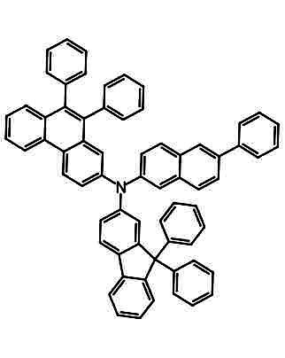 c1ccc(-c2ccc3cc(N(c4ccc5c(c4)C(c4ccccc4)(c4ccccc4)c4ccccc4-5)c4ccc5c(c4)c(-c4ccccc4)c(-c4ccccc4)c4ccccc45)ccc3c2)cc1